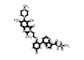 Cc1nc2cc(C(F)(F)F)c(N3CCN(C)CC3)c(C#N)c2c(=O)n1CCOc1ccc(Cl)cc1-c1ccnc2c(C(=O)NS(C)(=O)=O)csc12